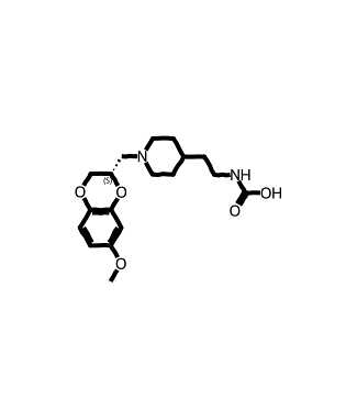 COc1ccc2c(c1)O[C@@H](CN1CCC(CCNC(=O)O)CC1)CO2